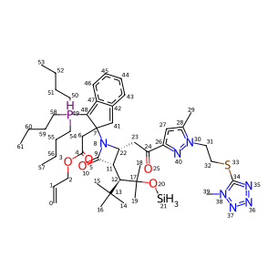 C=CCOC(=O)CC1(N2C(=O)[C@@H]([C@H](C(C)(C)C)C(C)(C)O[SiH3])[C@H]2CC(=O)c2cc(C)n(CCSc3nnnn3C)n2)C=c2ccccc2=C1[PH](CCCC)(CCCC)CCCC